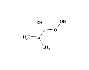 C=C(C)COO.[KH]